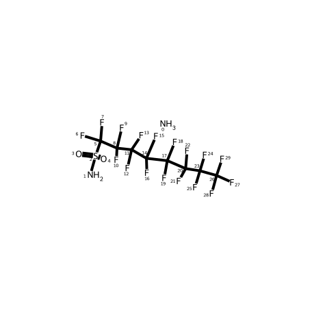 N.NS(=O)(=O)C(F)(F)C(F)(F)C(F)(F)C(F)(F)C(F)(F)C(F)(F)C(F)(F)C(F)(F)F